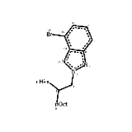 CCCCCCCCC(CCCCCC)Cn1nc2cccc(Br)c2n1